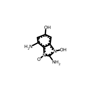 Nc1cc(O)cc2c1[n+]([O-])c(N)n2O